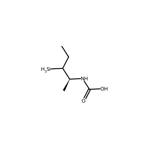 CCC([SiH3])[C@H](C)NC(=O)O